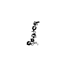 CCc1noc(N2CCC([C@H](C)Oc3cnc(N4CC(N)C(n5ccccc5=O)C4)nc3)CC2)n1